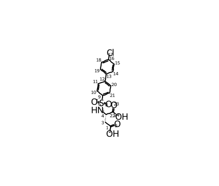 O=C(O)C[C@H](NS(=O)(=O)c1ccc(-c2ccc(Cl)cc2)cc1)C(=O)O